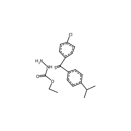 CC(C)c1ccc(C(=S)c2ccc(Cl)cc2)cc1.CCOC(=O)NN